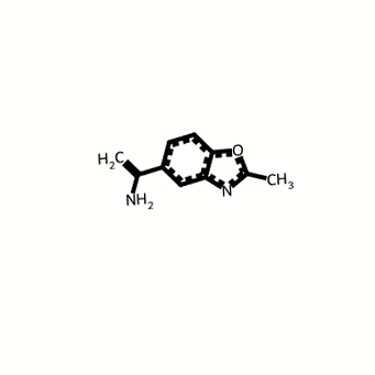 C=C(N)c1ccc2oc(C)nc2c1